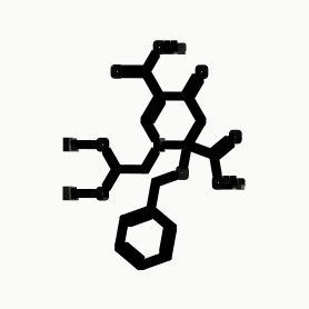 CCOC(CN1C=C(C(=O)OC)C(=O)CC1(OCc1ccccc1)C(=O)OC)OCC